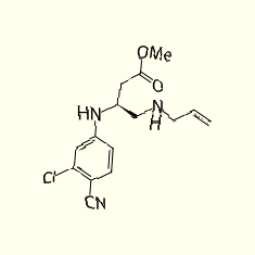 C=CCNC[C@H](CC(=O)OC)Nc1ccc(C#N)c(Cl)c1